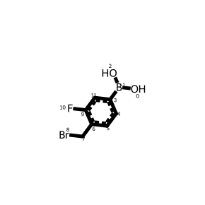 OB(O)c1ccc(CBr)c(F)c1